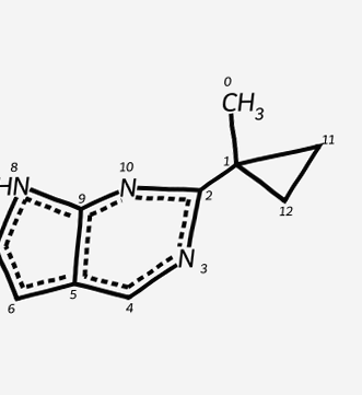 CC1(c2ncc3cc[nH]c3n2)CC1